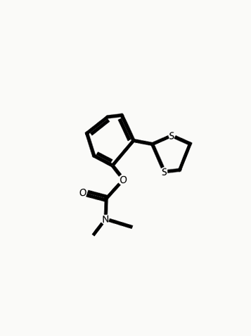 CN(C)C(=O)Oc1ccccc1C1SCCS1